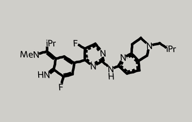 CN/C(=C1/C=C(c2nc(Nc3ccc4c(n3)CCN(CC(C)C)C4)ncc2F)C=C(F)C1=N)C(C)C